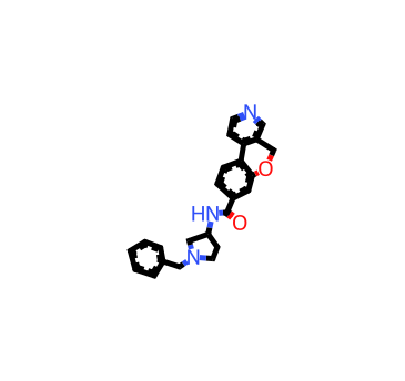 O=C(NC1CCN(Cc2ccccc2)C1)c1ccc2c(c1)OCc1cnccc1-2